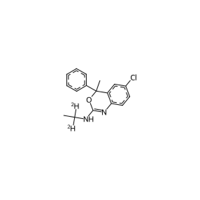 [2H]C([2H])(C)NC1=Nc2ccc(Cl)cc2C(C)(c2ccccc2)O1